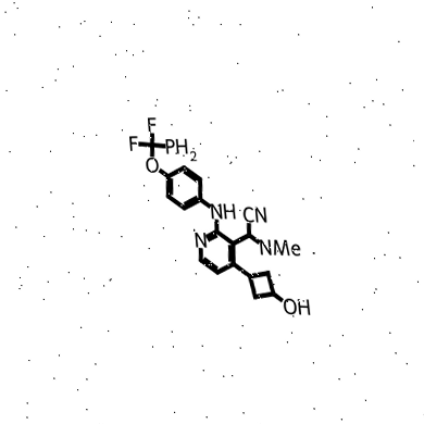 CNC(C#N)c1c(C2CC(O)C2)ccnc1Nc1ccc(OC(F)(F)P)cc1